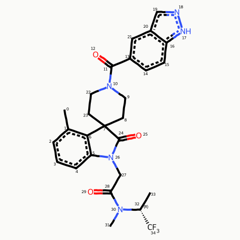 Cc1cccc2c1C1(CCN(C(=O)c3ccc4[nH]ncc4c3)CC1)C(=O)N2CC(=O)N(C)[C@H](C)C(F)(F)F